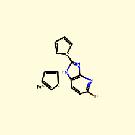 Brc1ccc2[nH]c(-[c-]3cccc3)nc2n1.[Fe+2].c1cc[cH-]c1